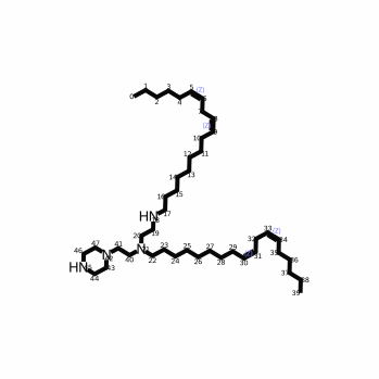 CCCCC/C=C\C/C=C\CCCCCCCCNCCN(CCCCCCCC/C=C\C/C=C\CCCCC)CCN1CCNCC1